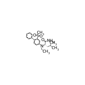 CCN(c1ccc(-c2ccccc2)c(S(C)(=O)=O)c1)[C@@H](CC(C)C)C(N)=O